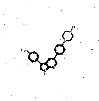 Cc1ccc(-c2c[nH]c3ncc(-c4ccc(N5CCN(C)CC5)cc4)cc23)cc1